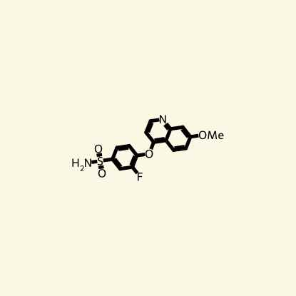 COc1ccc2c(Oc3ccc(S(N)(=O)=O)cc3F)ccnc2c1